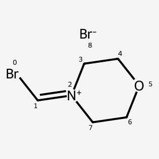 BrC=[N+]1CCOCC1.[Br-]